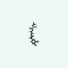 C=C(C)CNC(=O)/C=C(C)/C=C/C1(F)CC1c1ccc(Br)c(Br)c1